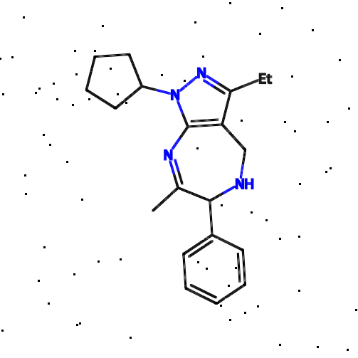 CCc1nn(C2CCCC2)c2c1CNC(c1ccccc1)C(C)=N2